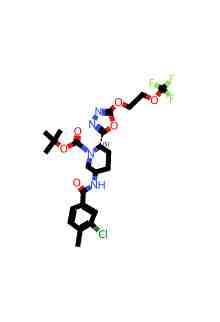 Cc1ccc(C(=O)NC2CC[C@@H](c3nnc(OCCOC(F)(F)F)o3)N(C(=O)OC(C)(C)C)C2)cc1Cl